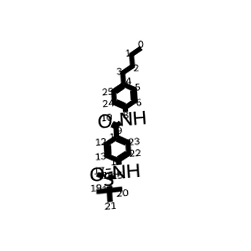 CCCCc1ccc(NC(=O)c2ccc(N[S+]([O-])C(C)(C)C)cc2)cc1